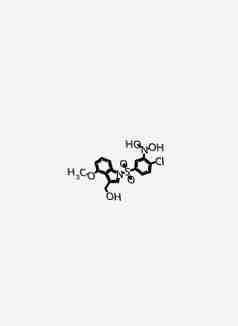 COc1cccc2c1c(CO)cn2S(=O)(=O)c1ccc(Cl)c(N(O)O)c1